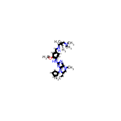 CC[C@@H]1CN(C)c2cnc(Nc3ccc(CNCC(C)(C)CN(C)C)cc3OC)nc2N1C1CCCC1